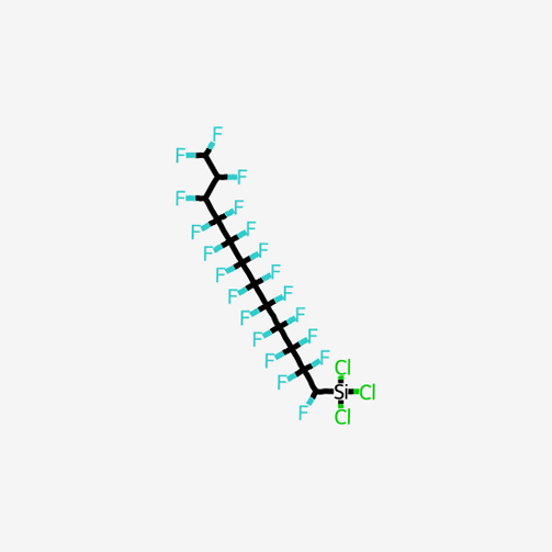 FC(F)C(F)C(F)C(F)(F)C(F)(F)C(F)(F)C(F)(F)C(F)(F)C(F)(F)C(F)(F)C(F)(F)C(F)[Si](Cl)(Cl)Cl